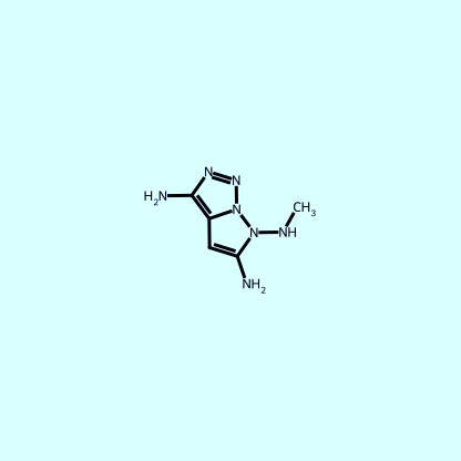 CNn1c(N)cc2c(N)nnn21